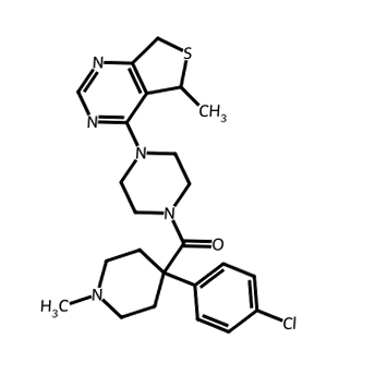 CC1SCc2ncnc(N3CCN(C(=O)C4(c5ccc(Cl)cc5)CCN(C)CC4)CC3)c21